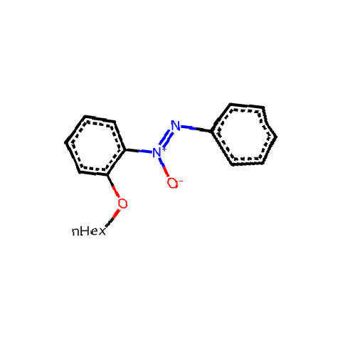 CCCCCCOc1ccccc1[N+]([O-])=Nc1ccccc1